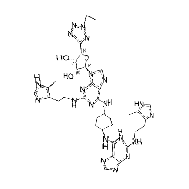 CCn1nnc([C@H]2O[C@@H](n3cnc4c(NC5CCC(Nc6[nH]c(NCCc7nc[nH]c7C)nc7ncnc6-7)CC5)nc(NCCc5nc[nH]c5C)nc43)[C@H](O)[C@@H]2O)n1